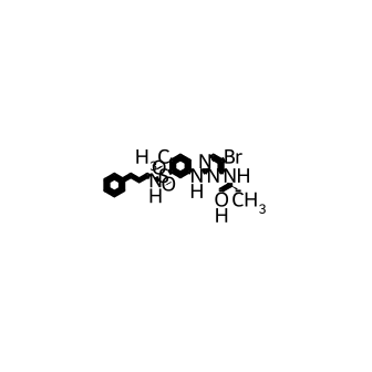 CC[C@H](CO)Nc1nc(Nc2ccc(C)c(S(=O)(=O)NCCCc3ccccc3)c2)ncc1Br